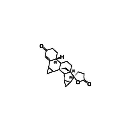 CC[C@]12CCC3C(C4CC4C4=CC(=O)CC[C@@H]43)C1C1CC1[C@@]21CCC(=O)O1